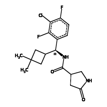 CC1(C)CC([C@H](NC(=O)C2CNC(=O)C2)c2ccc(F)c(Cl)c2F)C1